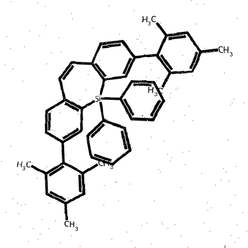 Cc1cc(C)c(-c2ccc3c(c2)[Si](c2ccccc2)(c2ccccc2)c2cc(-c4c(C)cc(C)cc4C)ccc2C=C3)c(C)c1